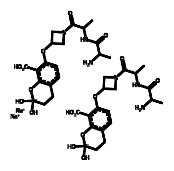 CC(N)C(=O)NC(C)C(=O)N1CC(Oc2ccc3c(c2C(=O)O)O[B-](O)(O)CC3)C1.CC(N)C(=O)NC(C)C(=O)N1CC(Oc2ccc3c(c2C(=O)O)O[B-](O)(O)CC3)C1.[Na+].[Na+]